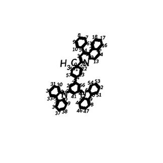 CC1(c2cc(-c3ccccc3)c3c(ccc4ccccc43)n2)C=CC(c2cc(-n3c4ccccc4c4ccccc43)cc(-n3c4ccccc4c4ccccc43)c2)=CC1